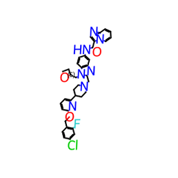 O=C(Nc1ccc2c(c1)nc(CN1CCC(c3cccc(OCc4ccc(Cl)cc4F)n3)CC1)n2C[C@@H]1CCO1)c1cnc2ccccn12